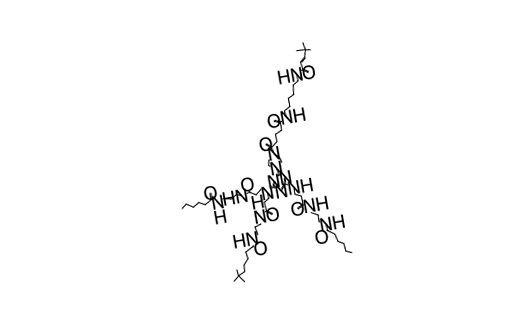 CCCCCC(=O)NCCCNC(=O)CCNc1nc(N(CCC(=O)NCCCNC(=O)CCCCC)CCC(=O)NCCCNC(=O)CCCCC(C)(C)C)nc(N2CCN(C(=O)CCCC(=O)NCCCCCCNC(=O)/C=C/C(C)(C)C)CC2)n1